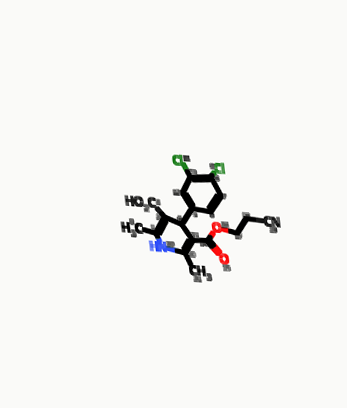 CC1=C(C(=O)O)C(c2ccc(Cl)c(Cl)c2)C(C(=O)OCCC#N)=C(C)N1